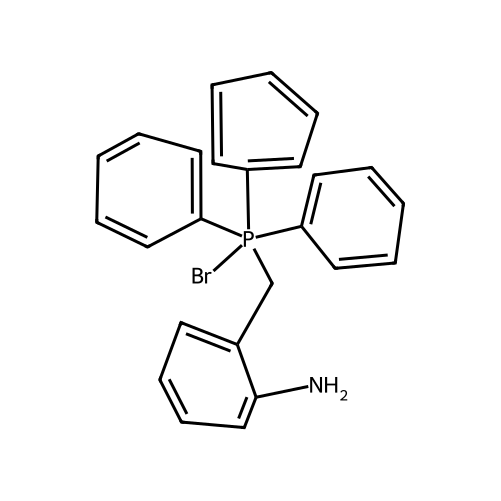 Nc1ccccc1CP(Br)(c1ccccc1)(c1ccccc1)c1ccccc1